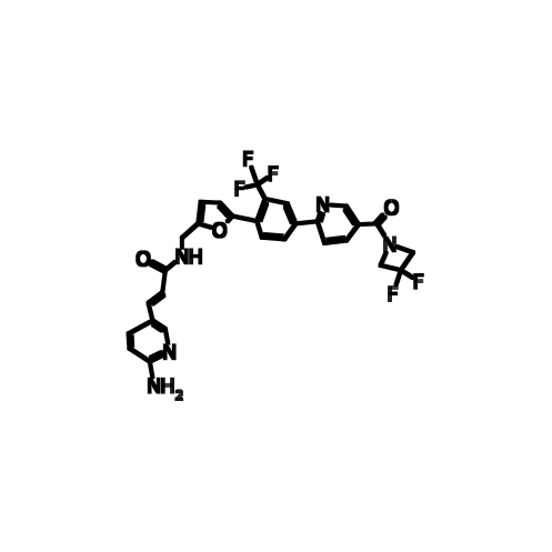 Nc1ccc(/C=C/C(=O)NCc2ccc(-c3ccc(-c4ccc(C(=O)N5CC(F)(F)C5)cn4)cc3C(F)(F)F)o2)cn1